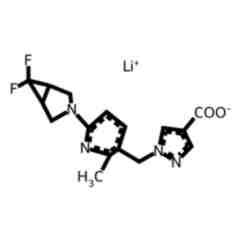 Cc1nc(N2CC3C(C2)C3(F)F)ccc1Cn1cc(C(=O)[O-])cn1.[Li+]